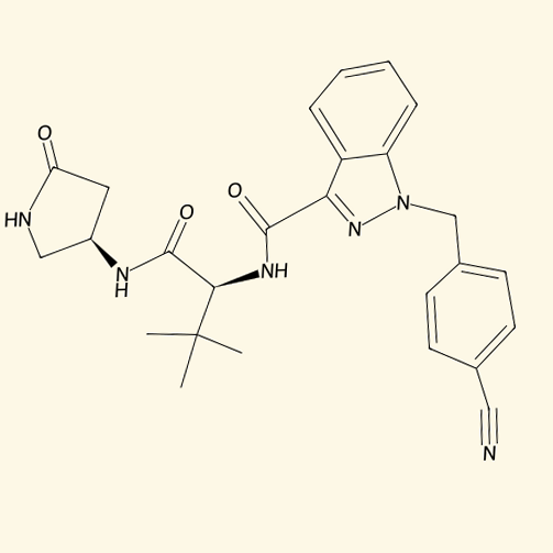 CC(C)(C)[C@H](NC(=O)c1nn(Cc2ccc(C#N)cc2)c2ccccc12)C(=O)N[C@H]1CNC(=O)C1